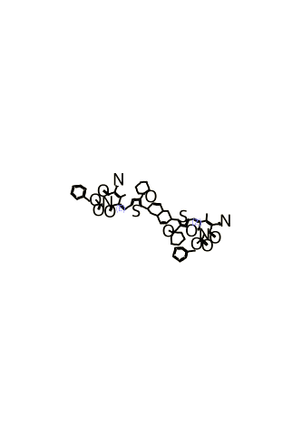 CC1=C(C#N)C(=O)N(C(=O)OCc2ccccc2)C(=O)/C1=C\c1cc2c(s1)C1CC3C=C4OC5(CCCCC5)c5cc(/C=C6/C(=O)N(C(=O)OCc7ccccc7)C(=O)C(C#N)=C6C)sc5C4CC3C=C1OC21CCCCC1